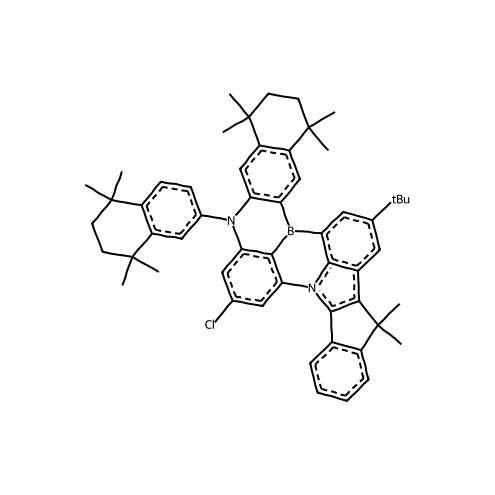 CC(C)(C)c1cc2c3c(c1)c1c(n3-c3cc(Cl)cc4c3B2c2cc3c(cc2N4c2ccc4c(c2)C(C)(C)CCC4(C)C)C(C)(C)CCC3(C)C)-c2ccccc2C1(C)C